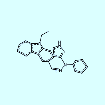 CCn1c2ccccc2c2cc(/C=N\N(c3ccccc3)c3cc[nH]n3)ccc21